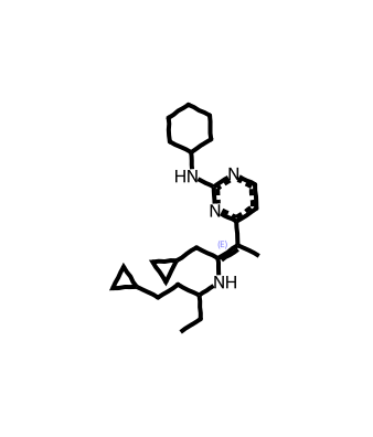 CCC(CCC1CC1)N/C(CC1CC1)=C(\C)c1ccnc(NC2CCCCC2)n1